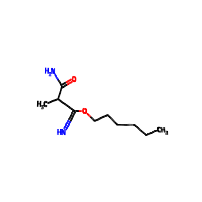 CCCCCCOC(=N)C(C)C(N)=O